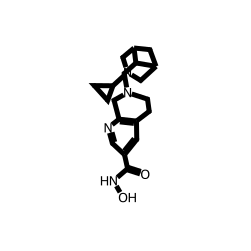 O=C(NO)c1cnc2c(c1)CCN(CC1C3CC1CN(C1CC1)C3)C2